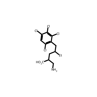 CCC(Cc1c(Cl)cc(Cl)c(Cl)c1Cl)CC(CN)C(=O)O